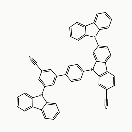 N#Cc1cc(-c2ccc(-n3c4cc(C#N)ccc4c4ccc(-n5c6ccccc6c6ccccc65)cc43)cc2)cc(-n2c3ccccc3c3ccccc32)c1